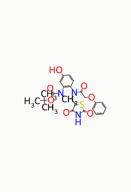 CN(C(=O)OC(C)(C)C)c1cc(O)ccc1N(CC1SC(=O)NC1=O)C(=O)COc1ccccc1